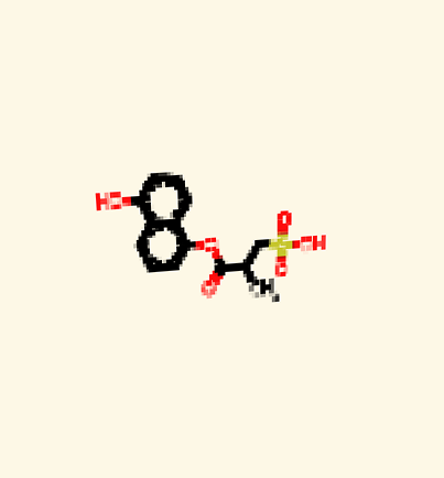 CC(CS(=O)(=O)O)C(=O)Oc1cccc2c(O)cccc12